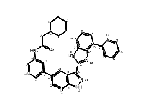 O=C(CC1CCCCC1)Nc1cncc(-c2cnc3[nH]nc(-c4nc5c(-c6ccccn6)ccnc5[nH]4)c3c2)c1